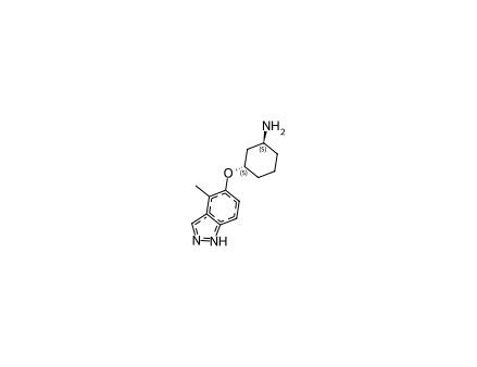 Cc1c(O[C@H]2CCC[C@H](N)C2)ccc2[nH]ncc12